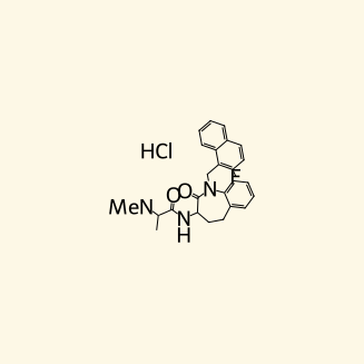 CNC(C)C(=O)NC1CCc2ccccc2N(Cc2c(F)ccc3ccccc23)C1=O.Cl